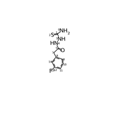 NC(=S)NNC(=O)Cc1cccc(F)c1